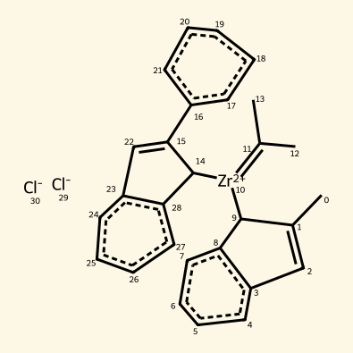 CC1=Cc2ccccc2[CH]1[Zr+2](=[C](C)C)[CH]1C(c2ccccc2)=Cc2ccccc21.[Cl-].[Cl-]